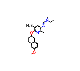 Bc1cc(/N=C/N(C)CC)c(C)nc1OC1CCc2cc(OC)ccc2C1